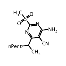 CCCCCC(C)c1nc(S(C)(=O)=O)nc(N)c1C#N